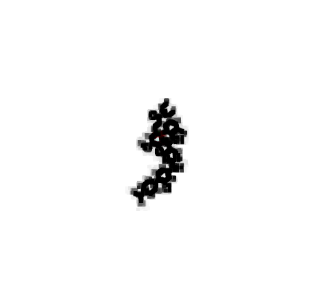 CCN(CC)C(=O)C=Cc1ccc(Oc2nc(Nc3ccc(N4CCN(C(C)C)CC4)c(Cl)c3)ncc2C(=O)Nc2c(C)cccc2C)c(OC)c1